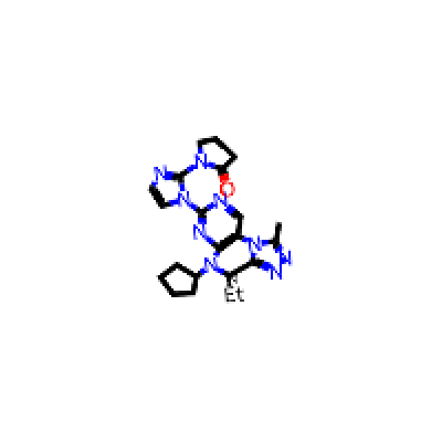 CC[C@@H]1c2nnc(C)n2-c2cnc(-n3ccnc3N3CCCC3=O)nc2N1C1CCCC1